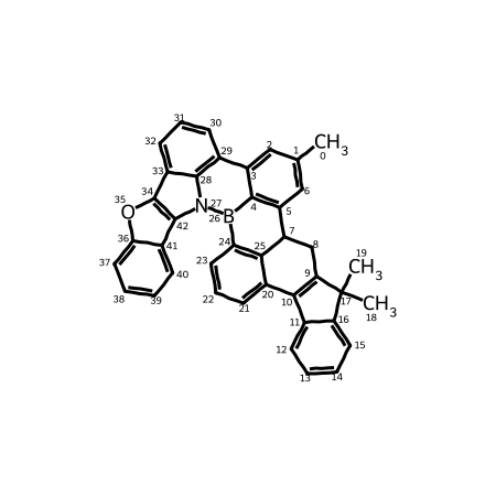 Cc1cc2c3c(c1)C1CC4=C(c5ccccc5C4(C)C)c4cccc(c41)B3n1c3c-2cccc3c2oc3ccccc3c21